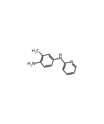 Cc1cc(Nc2ccccn2)ccc1N